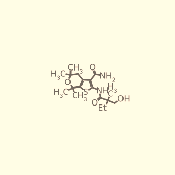 CCC(C)(CO)C(=O)Nc1sc2c(c1C(N)=O)CC(C)(C)OC2(C)C